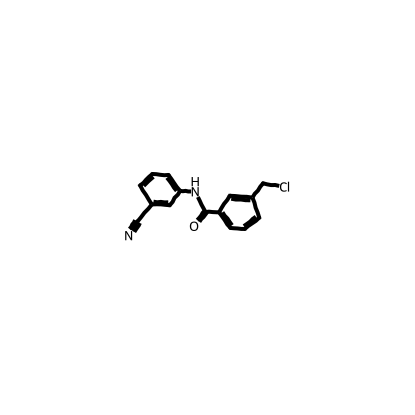 N#Cc1cccc(NC(=O)c2cccc(CCl)c2)c1